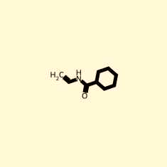 C=CNC(=O)C1CCCCC1